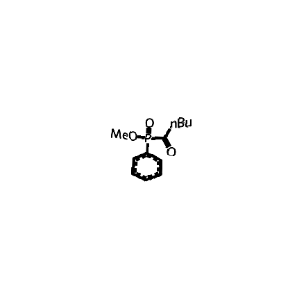 CCCCC(=O)P(=O)(OC)c1ccccc1